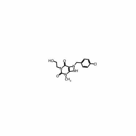 Cn1c(=O)n(CCO)c(=O)c2c1[nH]n2Cc1ccc(Cl)cc1